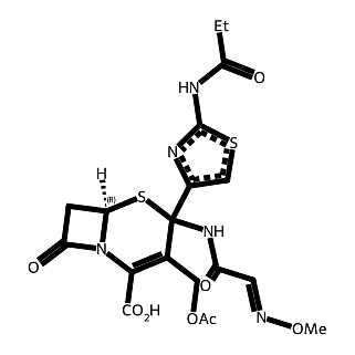 CCC(=O)Nc1nc(C2(NC(=O)C=NOC)S[C@@H]3CC(=O)N3C(C(=O)O)=C2COC(C)=O)cs1